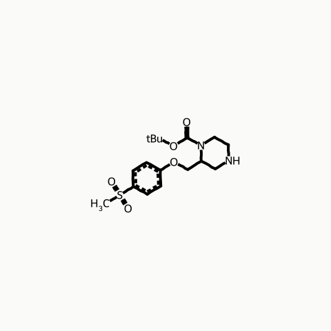 CC(C)(C)OC(=O)N1CCNCC1COc1ccc(S(C)(=O)=O)cc1